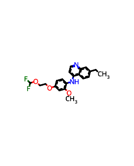 CCc1ccc2c(Nc3ccc(OCCOC(F)F)cc3OC)ccnc2c1